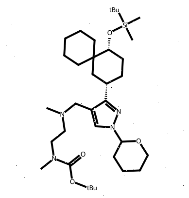 CN(CCN(C)C(=O)OC(C)(C)C)Cc1cn(C2CCCCO2)nc1[C@H]1CC[C@@H](O[Si](C)(C)C(C)(C)C)C2(CCCCC2)C1